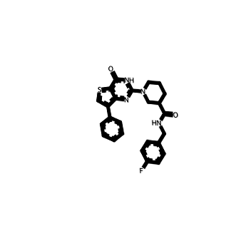 O=C(NCc1ccc(F)cc1)C1CCCN(c2nc3c(-c4ccccc4)csc3c(=O)[nH]2)C1